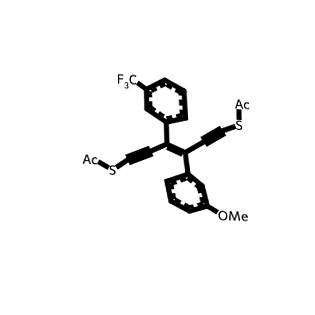 COc1cccc(/C(C#CSC(C)=O)=C(\C#CSC(C)=O)c2cccc(C(F)(F)F)c2)c1